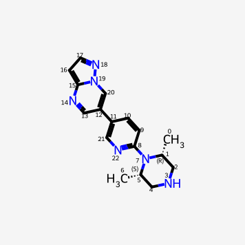 C[C@@H]1CNC[C@H](C)N1c1ccc(-c2cnc3ccnn3c2)cn1